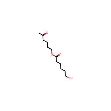 CC(=O)CCCCOC(=O)CCCCCO